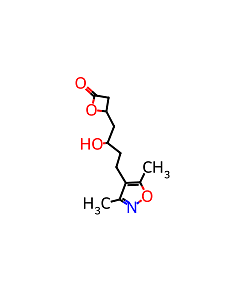 Cc1noc(C)c1CCC(O)CC1CC(=O)O1